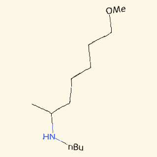 CCCCNC(C)CCCCCOC